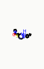 CC(C)(C)c1cccc(NC2=N/Cc3cc(C(=O)N4CCCC4)sc3/C=C\C/C=N\2)c1